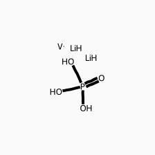 O=P(O)(O)O.[LiH].[LiH].[V]